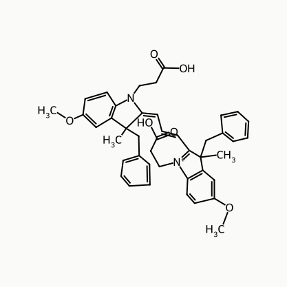 COc1ccc2c(c1)C(C)(Cc1ccccc1)C(/C=C/C=C1/N(CCC(=O)O)c3ccc(OC)cc3C1(C)Cc1ccccc1)=[N+]2CCC(=O)O